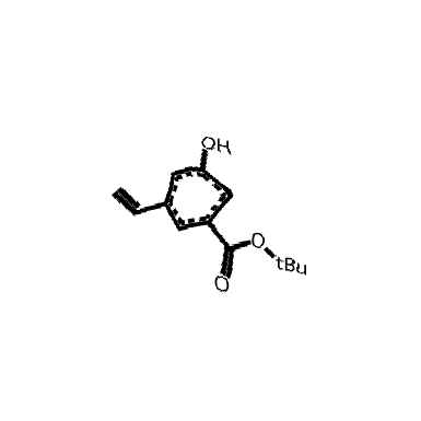 C=Cc1cc(O)cc(C(=O)OC(C)(C)C)c1